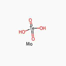 O=[Te](=O)(O)O.[Mo]